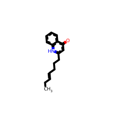 CCC=CCCCc1cc(=O)c2ccccc2[nH]1